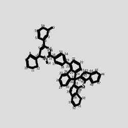 CC1C=C(C2=CC(C3=CC=CCC3)N(C)C(c3ccc(-c4cccc5c4-c4ccccc4C54c5ccc6c(c5Sc5c4ccc4ccccc54)CCC=C6)cc3)=N2)C=CC1